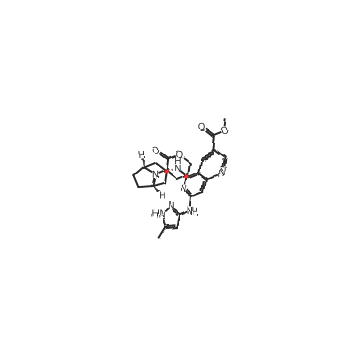 COC(=O)c1cnc2cc(Nc3cc(C)[nH]n3)nc(N[C@H]3C[C@H]4CC[C@@H](C3)N4C3CCCOC3=O)c2c1